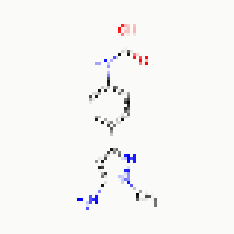 Cn1nc(-c2ccc(NC(=O)O)cc2)cc1N